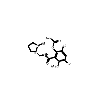 CCCCCCCCCC(=O)Oc1c(CC)cc(Br)c(OC)c1C(=O)NC[C@@H]1CCCN1CC